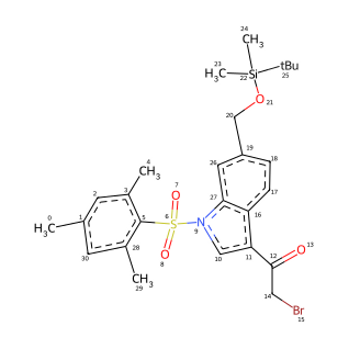 Cc1cc(C)c(S(=O)(=O)n2cc(C(=O)CBr)c3ccc(CO[Si](C)(C)C(C)(C)C)cc32)c(C)c1